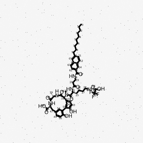 CCCCCCCCCCc1ccc2cc(C(=O)NCCC(=O)N[C@@H](CCCCN)C(=O)N(C)[C@@H]3C(=O)N[C@@H](C)C(=O)N[C@H](C(=O)O)Cc4ccc(O)c(c4)-c4cc3ccc4O)ccc2c1.O=C(O)C(F)(F)F